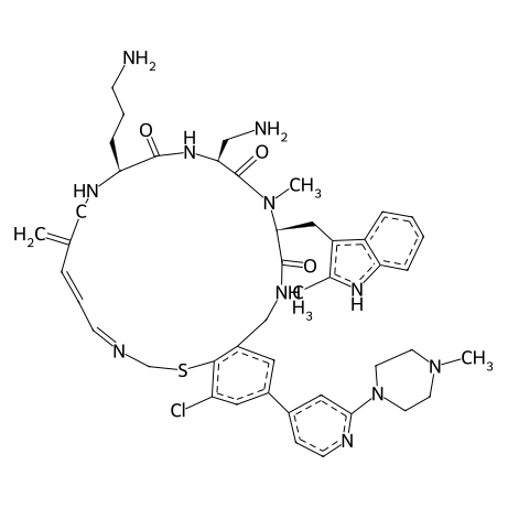 C=C1/C=C\C=N/CSc2c(Cl)cc(-c3ccnc(N4CCN(C)CC4)c3)cc2CNC(=O)[C@H](Cc2c(C)[nH]c3ccccc23)N(C)C(=O)[C@H](CN)NC(=O)[C@H](CCCN)NC1